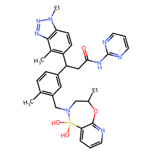 CCC1CN(Cc2cc(C(CC(=O)Nc3ncccn3)c3ccc4c(nnn4CC)c3C)ccc2C)S(O)(O)c2cccnc2O1